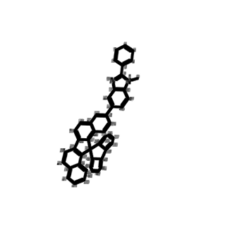 Cn1c(-c2ccccc2)nc2cc(-c3ccc4c5c(ccc4c3)-c3ccc4ccccc4c3C53c4ccccc4-c4ccccc43)ccc21